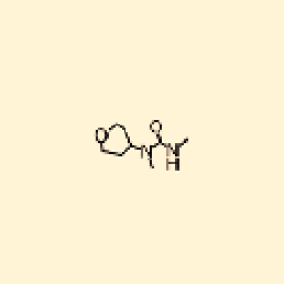 CNC(=O)N(C)C1CCOCC1